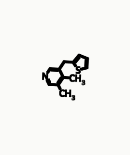 Cc1cncc(Cc2cccs2)c1C